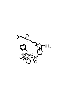 CC(C)COC(=O)OCCCC(=O)/N=C(/N)N1CCC(CNC(=O)[C@@H]2CCCN2C(=O)[C@@H](Cc2ccccc2)NS(C)(=O)=O)CC1